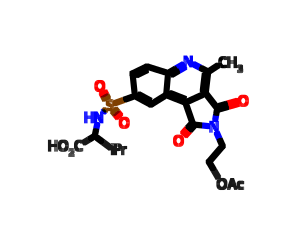 CC(=O)OCCN1C(=O)c2c(C)nc3ccc(S(=O)(=O)NC(C(=O)O)C(C)C)cc3c2C1=O